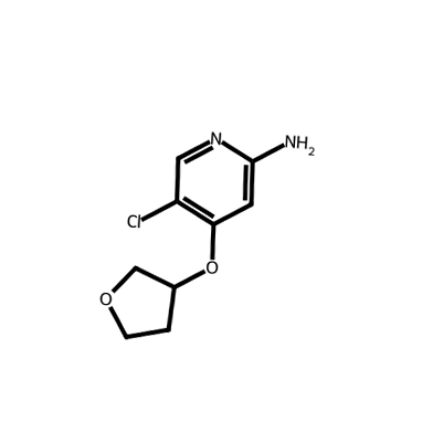 Nc1cc(OC2CCOC2)c(Cl)cn1